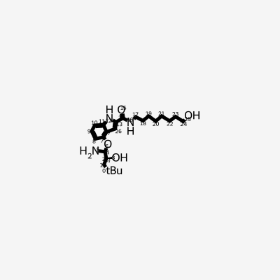 CC(C)(C)C[C@H](O)C(N)Oc1cccc2[nH]c(C(=O)NCCCCCCCCO)cc12